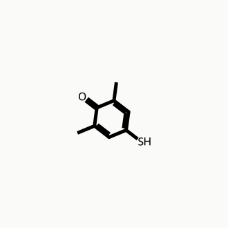 CC1=C=C(S)C=C(C)C1=O